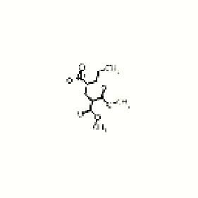 CCCC(CC(C(=O)OC)C(=O)OC)[N+](=O)[O-]